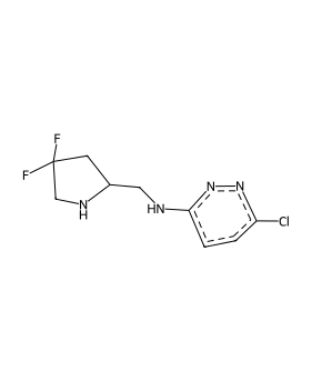 FC1(F)CNC(CNc2ccc(Cl)nn2)C1